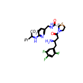 CC(C)C(Nc1ccc(CNC(=O)[C@@H]2SCCN2C(=O)CC(N)Cc2cc(F)c(F)cc2F)cn1)C(=O)O